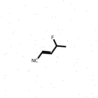 CC(F)/C=C/C#N